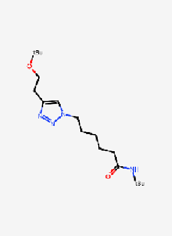 CC(C)(C)NC(=O)CCCCCn1cc(CCOC(C)(C)C)nn1